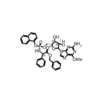 COc1nc(N)nc2c1ncn2C1O[C@H](COP(=O)(N[C@@H](C(=O)OCc2ccccc2)c2ccccc2)Oc2cccc3ccccc23)[C@@H](O)[C@@]1(C)O